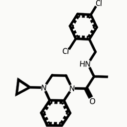 CC(NCc1cc(Cl)ccc1Cl)C(=O)N1CCN(C2CC2)c2ccccc21